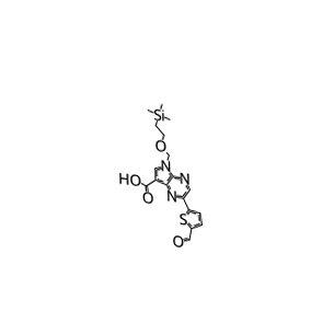 C[Si](C)(C)CCOCn1cc(C(=O)O)c2nc(-c3ccc(C=O)s3)cnc21